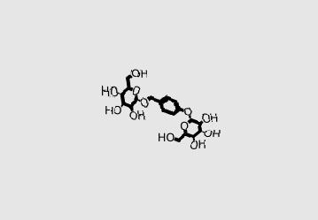 OCC1O[C@@H](OCc2ccc(O[C@@H]3OC(CO)[C@H](O)[C@H](O)C3O)cc2)C(O)[C@@H](O)[C@@H]1O